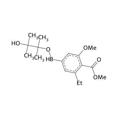 CCc1cc(BOC(C)(C)C(C)(C)O)cc(OC)c1C(=O)OC